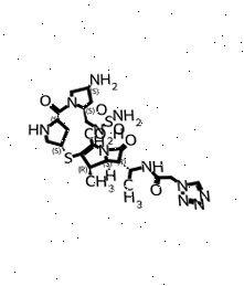 CC(NC(=O)Cn1cnnn1)[C@H]1C(=O)N2C(C(=O)O)=C(S[C@@H]3CN[C@H](C(=O)N4C[C@@H](N)C[C@H]4CNS(N)(=O)=O)C3)[C@H](C)[C@H]12